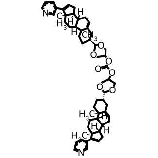 C[C@]12CC[C@H](C3OCC(OC(=O)OC4COC([C@H]5CC[C@@]6(C)C(=CC[C@@H]7[C@@H]6CC[C@]6(C)C(c8cccnc8)=CC[C@@H]76)C5)OC4)CO3)CC1=CC[C@@H]1[C@@H]2CC[C@]2(C)C(c3cccnc3)=CC[C@@H]12